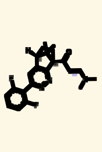 CN(C)/C=C/C(=O)[C@@]12CC[C@@H](c3cc(-c4c(F)cccc4F)nnc31)C2(C)C